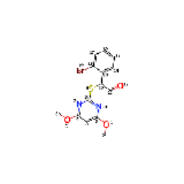 COc1cc(OC)nc(SC(C=O)c2ccccc2Br)n1